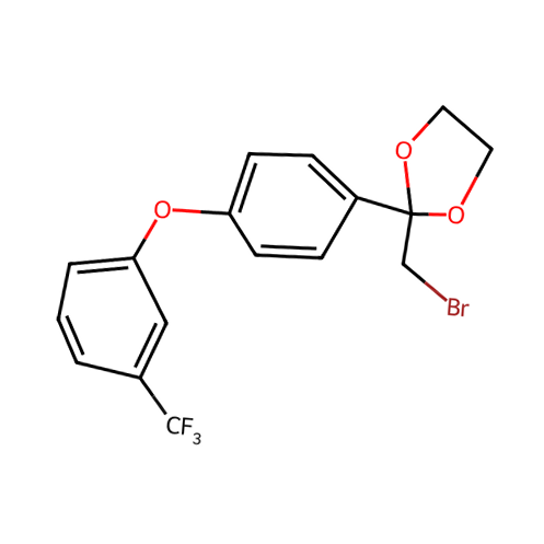 FC(F)(F)c1cccc(Oc2ccc(C3(CBr)OCCO3)cc2)c1